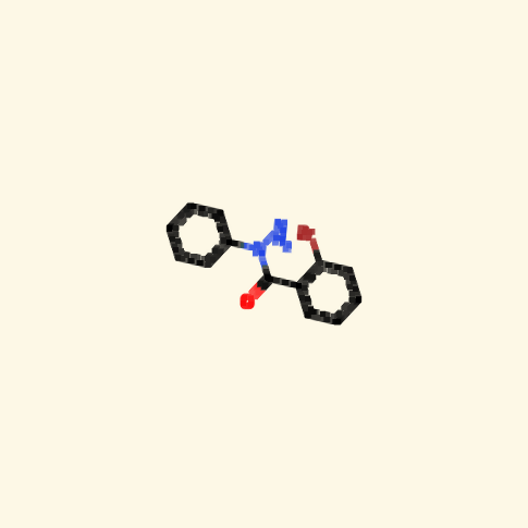 NN(C(=O)c1ccccc1Br)c1ccccc1